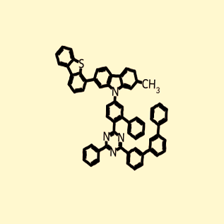 CC1C=c2c(c3ccc(-c4cccc5c4sc4ccccc45)cc3n2-c2ccc(-c3nc(-c4ccccc4)nc(-c4cccc(-c5cccc(-c6ccccc6)c5)c4)n3)c(-c3ccccc3)c2)=CC1